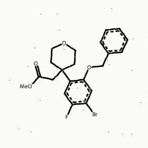 COC(=O)CC1(c2cc(F)c(Br)cc2OCc2ccccc2)CCOCC1